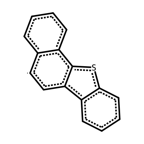 [c]1cc2c3ccccc3sc2c2ccccc12